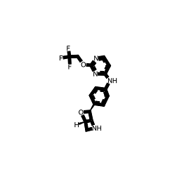 FC(F)(F)COc1nccc(Nc2ccc([C@@H]3O[C@H]4CNC43)cc2)n1